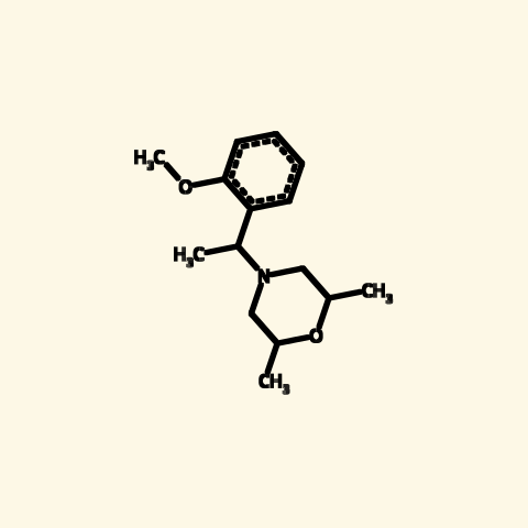 COc1ccccc1C(C)N1CC(C)OC(C)C1